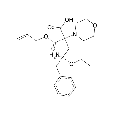 C=CCOC(=O)C(C[C@](N)(Cc1ccccc1)OCC)(C(=O)O)N1CCOCC1